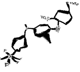 COc1ccc(Nc2ccc(N(C)c3ccc(S(F)(F)(F)(F)F)cc3)cc2C)c(C(=O)O)c1